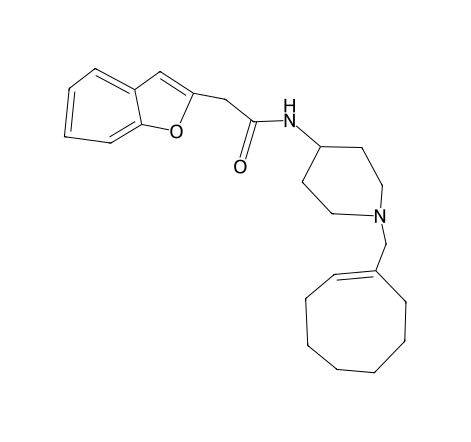 O=C(Cc1cc2ccccc2o1)NC1CCN(C/C2=C/CCCCCC2)CC1